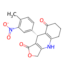 Cc1ccc([C@@H]2C3=C(CCCC3=O)NC3=C2C(=O)OC3)cc1[N+](=O)[O-]